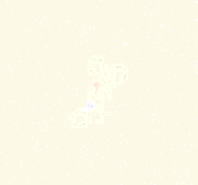 CC(C)C1CC(O[Si](c2ccccc2)(c2ccccc2)C(C)(C)C)CN1c1ccccc1